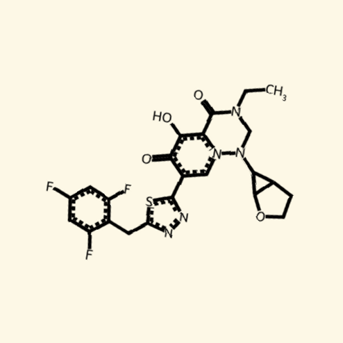 CCN1CN(C2C3CCOC32)n2cc(-c3nnc(Cc4c(F)cc(F)cc4F)s3)c(=O)c(O)c2C1=O